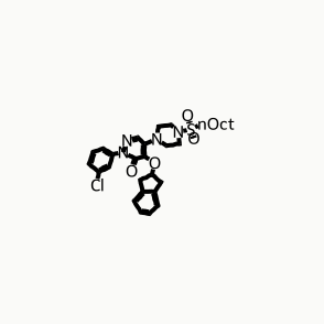 CCCCCCCCS(=O)(=O)N1CCN(c2cnn(-c3cccc(Cl)c3)c(=O)c2OC2Cc3ccccc3C2)CC1